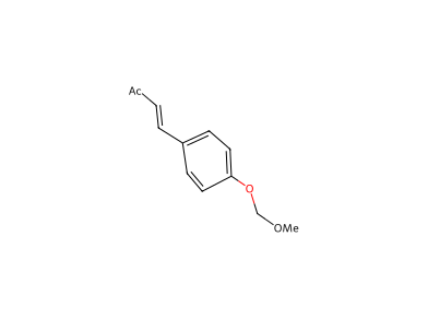 COCOc1ccc(C=CC(C)=O)cc1